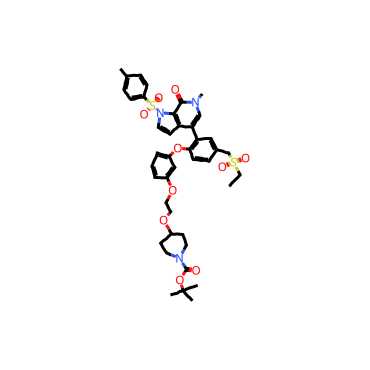 CCS(=O)(=O)Cc1ccc(Oc2cccc(OCCOC3CCN(C(=O)OC(C)(C)C)CC3)c2)c(-c2cn(C)c(=O)c3c2ccn3S(=O)(=O)c2ccc(C)cc2)c1